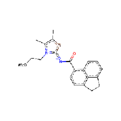 COCCn1c(C)c(C)s/c1=N\C(=O)c1ccc2c3c(cccc13)CC2